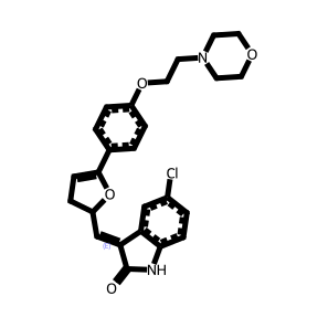 O=C1Nc2ccc(Cl)cc2/C1=C\C1CC=C(c2ccc(OCCN3CCOCC3)cc2)O1